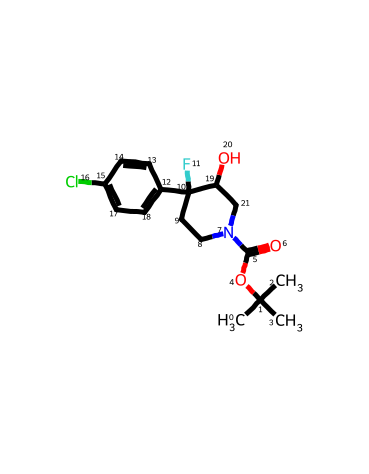 CC(C)(C)OC(=O)N1CCC(F)(c2ccc(Cl)cc2)C(O)C1